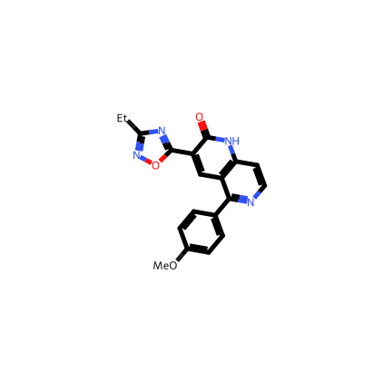 CCc1noc(-c2cc3c(-c4ccc(OC)cc4)nccc3[nH]c2=O)n1